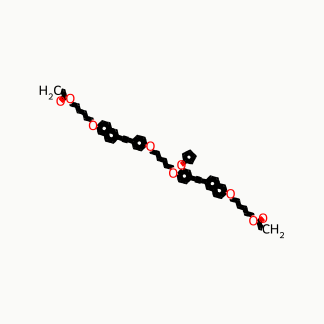 C=CC(=O)OCCCCCCOc1ccc2cc(C#Cc3ccc(OCCCCCCOc4ccc(C#Cc5ccc6cc(OCCCCCCOC(=O)C=C)ccc6c5)cc4OC4CCCC4)cc3)ccc2c1